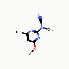 COc1cc(C)nc(N(C)C#N)n1